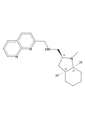 CN1[C@H](CNCc2ccc3cccnc3n2)C[C@@H]2CCCC[C@@H]21